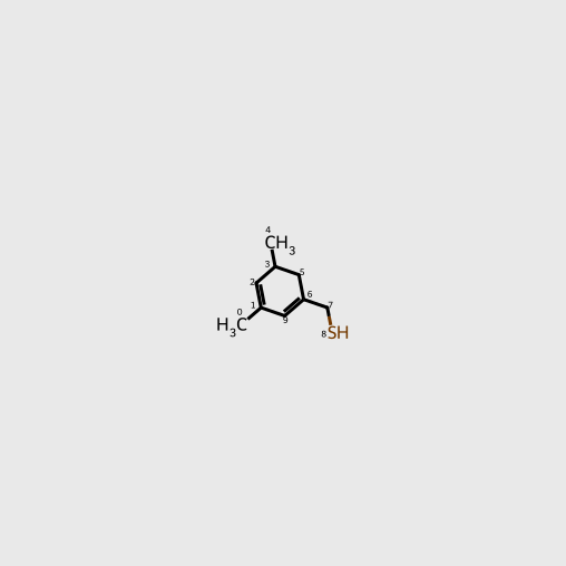 CC1=CC(C)CC(CS)=C1